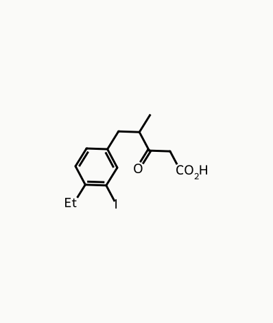 CCc1ccc(CC(C)C(=O)CC(=O)O)cc1I